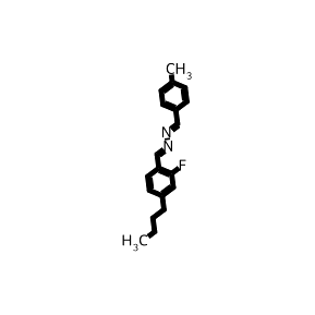 CCCCc1ccc(C=NN=Cc2ccc(C)cc2)c(F)c1